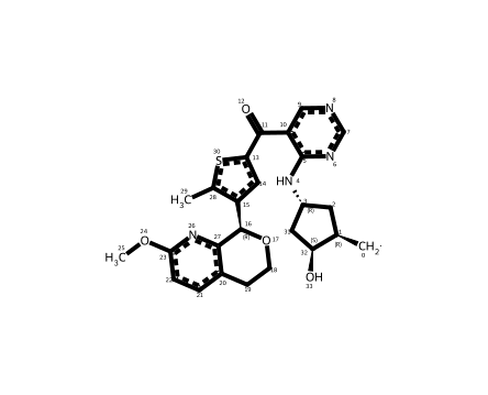 [CH2][C@@H]1C[C@@H](Nc2ncncc2C(=O)c2cc([C@H]3OCCc4ccc(OC)nc43)c(C)s2)C[C@@H]1O